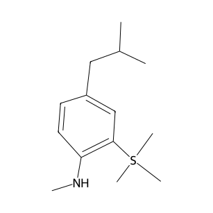 CNc1ccc(CC(C)C)cc1S(C)(C)C